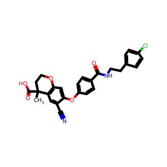 CC1(C(=O)O)CCOc2cc(Oc3ccc(C(=O)NCCc4ccc(Cl)cc4)cc3)c(C#N)cc21